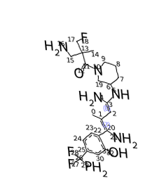 CC(/C=C(\N)NC1CCCN(C(=O)C(C)(CN)CF)C1)=C(/N)c1ccc(C(F)(F)P)cc1O